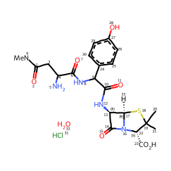 CNC(=O)CC(N)C(=O)NC(C(=O)N[C@@H]1C(=O)N2[C@@H]1SC(C)(C)[C@@H]2C(=O)O)c1ccc(O)cc1.Cl.O